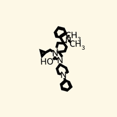 CN(C)[C@]1(c2ccccc2)CC[C@]2(CC1)CN(C1CCN(c3ccccc3)CC1)C(O)N2CC1CC1